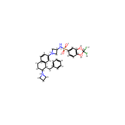 O=S(=O)(NC1CN(c2ccc3c(c2)[C@@H](Cc2ccccc2)C(N2CCC2)CC3)C1)c1ccc2c(c1)OC(F)(F)O2